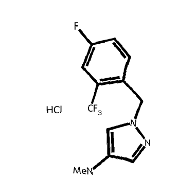 CNc1cnn(Cc2ccc(F)cc2C(F)(F)F)c1.Cl